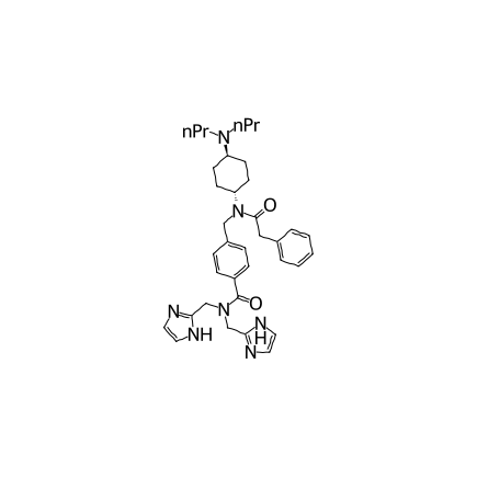 CCCN(CCC)[C@H]1CC[C@H](N(Cc2ccc(C(=O)N(Cc3ncc[nH]3)Cc3ncc[nH]3)cc2)C(=O)Cc2ccccc2)CC1